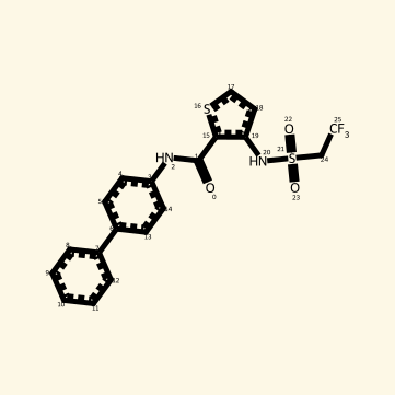 O=C(Nc1ccc(-c2ccccc2)cc1)c1sccc1NS(=O)(=O)CC(F)(F)F